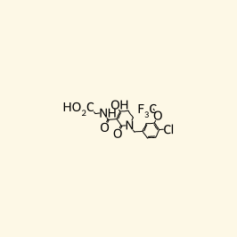 O=C(O)CNC(=O)C1=C(O)CCN(Cc2ccc(Cl)c(OC(F)(F)F)c2)C1=O